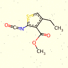 CCc1csc(N=C=O)c1C(=O)OC